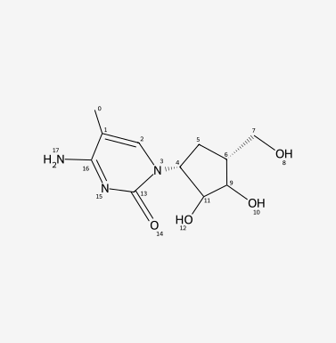 Cc1cn([C@@H]2C[C@H](CO)C(O)C2O)c(=O)nc1N